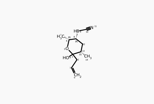 C=CCC1(O)O[C@H](C)[C@H](BC#N)C[C@@H]1C